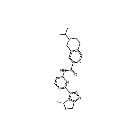 CC(C)N1CCc2cnc(C(=O)Nc3cccc(-c4nnc5n4[C@@H](C)CC5)n3)cc2C1